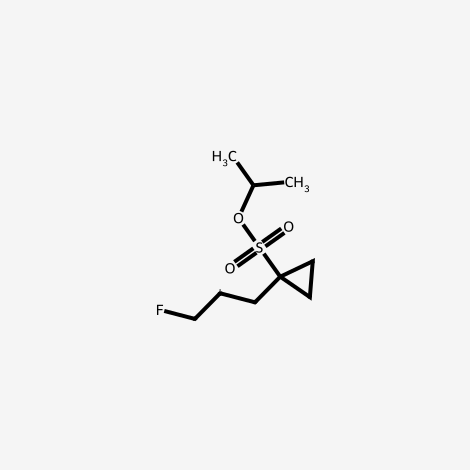 CC(C)OS(=O)(=O)C1(C[CH]CF)CC1